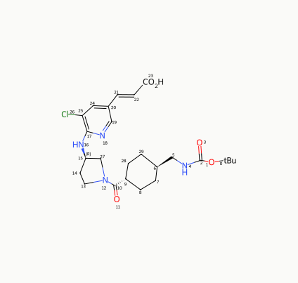 CC(C)(C)OC(=O)NC[C@H]1CC[C@H](C(=O)N2CC[C@@H](Nc3ncc(C=CC(=O)O)cc3Cl)C2)CC1